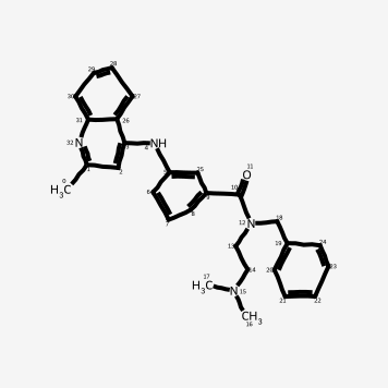 Cc1cc(Nc2cccc(C(=O)N(CCN(C)C)Cc3ccccc3)c2)c2ccccc2n1